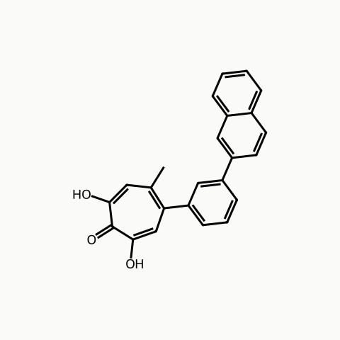 Cc1cc(O)c(=O)c(O)cc1-c1cccc(-c2ccc3ccccc3c2)c1